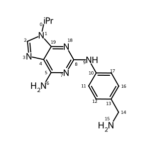 CC(C)n1cnc2c(N)nc(Nc3ccc(CN)cc3)nc21